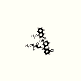 CCNC(=O)CCO[C@@H](c1cccc(Cl)c1F)C1CCCN(C(=O)NC(CNC)CC2CCCCC2)C1